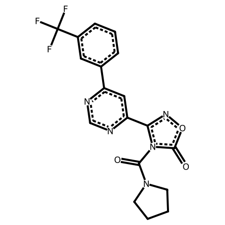 O=C(N1CCCC1)n1c(-c2cc(-c3cccc(C(F)(F)F)c3)ncn2)noc1=O